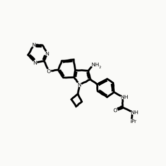 CC(C)NC(=O)Nc1ccc(-c2c(N)c3ccc(Oc4ncncn4)cc3n2C2CCC2)cc1